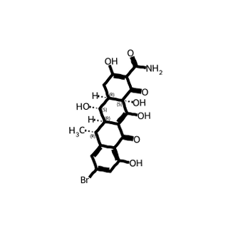 C[C@H]1c2cc(Br)cc(O)c2C(=O)C2=C(O)[C@]3(O)C(=O)C(C(N)=O)=C(O)C[C@@H]3[C@@H](O)[C@@H]21